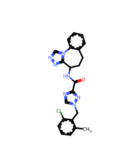 Cc1cccc(Cl)c1Cn1cnc(C(=O)NC2CCc3ccccc3-n3cnnc32)n1